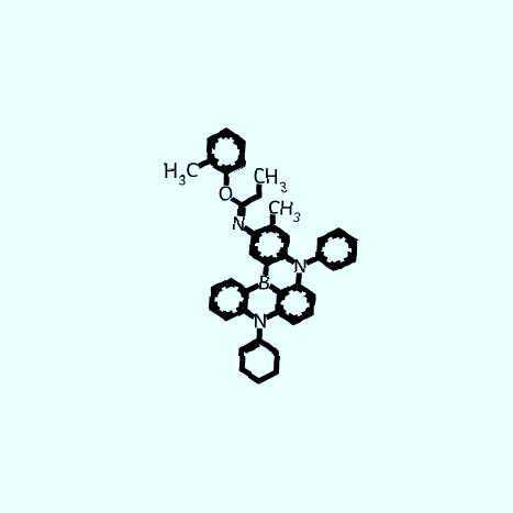 CC/C(=N\c1cc2c(cc1C)N(c1ccccc1)c1cccc3c1B2c1ccccc1N3C1=CCCCC1)Oc1ccccc1C